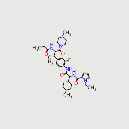 CCC(=O)N[C@@H](C(=O)N1CCN(C)CC1)[C@@H](C)c1ccc(NC(=O)[C@@H](NC(=O)c2cccn2CC)[C@H]2CC[C@H](C)CC2)c(F)c1